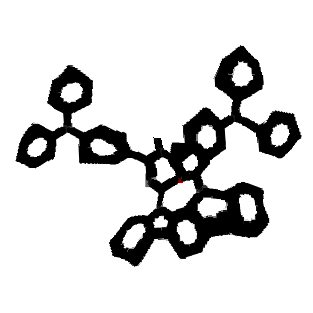 c1ccc(N(c2ccccc2)c2ccc(C3=NC(n4c5ccccc5c5ccc6c7ccccc7n(-c7ccccc7)c6c54)=NC(c4ccc(N(c5ccccc5)c5ccccc5)cc4)N3)cc2)cc1